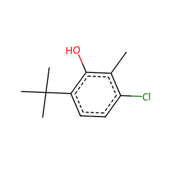 Cc1c(Cl)ccc(C(C)(C)C)c1O